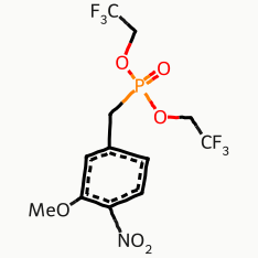 COc1cc(CP(=O)(OCC(F)(F)F)OCC(F)(F)F)ccc1[N+](=O)[O-]